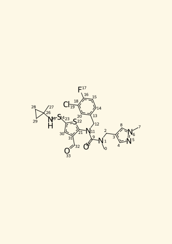 CN(Cc1cnn(C)c1)C(=O)N(Cc1ccc(F)c(Cl)c1)c1sc(SNC2(C)CC2)cc1C=O